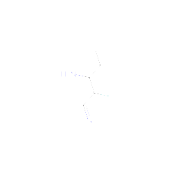 CCC(N)C(F)C=N